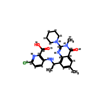 Cc1cc([C@@H](C)Nc2ccc(Cl)nc2C(=O)O)c2nc(N3CCCCC3)n(C)c(=O)c2c1